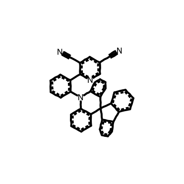 N#Cc1cnc(-c2ccccc2N2c3ccccc3C3(c4ccccc4-c4ccccc43)c3ccccc32)c(C#N)c1